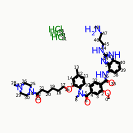 COc1cc(C(=O)N(C)c2ccc(C)cc2OCCCCCC(=O)N2CCN(C)CC2)ccc1C(=O)Nc1cccc2[nH]c(NCCCN)nc12.Cl.Cl.Cl